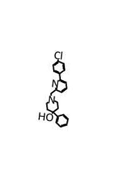 OC1(c2ccccc2)CCN(Cc2cccc(-c3ccc(Cl)cc3)n2)CC1